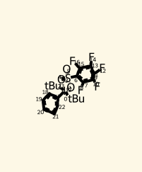 CC(C)(C)[I+](OS(=O)(=O)c1c(F)c(F)c(F)c(F)c1F)(c1ccccc1)C(C)(C)C